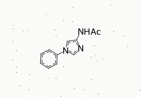 CC(=O)Nc1cn(-c2ccccc2)cn1